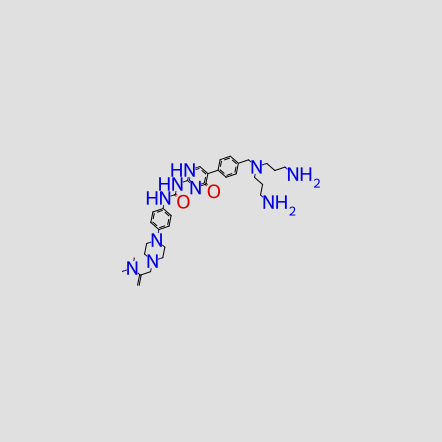 C=C(CN1CCN(c2ccc(NC(=O)Nc3nc(=O)c(-c4ccc(CN(CCCN)CCCN)cc4)c[nH]3)cc2)CC1)N(C)C